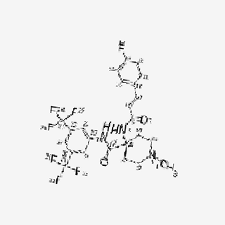 CN1CCC(NC(=O)C=Cc2ccc(F)cc2)(C(=O)Nc2cc(C(F)(F)F)cc(C(F)(F)F)c2)CC1